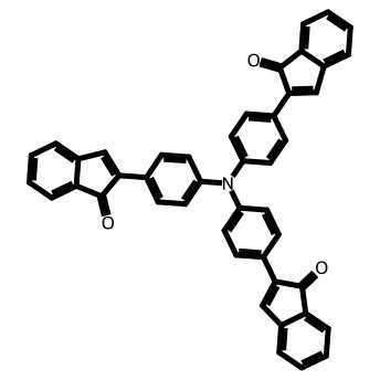 O=C1C(c2ccc(N(c3ccc(C4=Cc5ccccc5C4=O)cc3)c3ccc(C4=Cc5ccccc5C4=O)cc3)cc2)=Cc2ccccc21